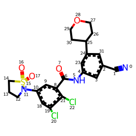 N#Cc1cc(NC(=O)c2cc(N3CCCS3(=O)=O)cc(Cl)c2Cl)cc(C2CCOCC2)c1